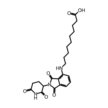 O=C(O)CCCCCCCCCNc1cccc2c1C(=O)N(C1CCC(=O)NC1=O)C2=O